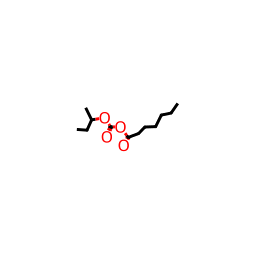 CCCCCCC(=O)OC(=O)OC(C)CC